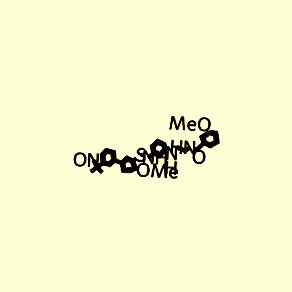 COc1cccc(C(=O)NCCNc2cccc(NSc3cc(-c4cccc(C(C)(C)N=O)c4)ccc3OC)c2)c1